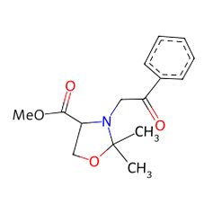 COC(=O)C1COC(C)(C)N1CC(=O)c1ccccc1